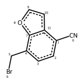 N#Cc1ccc(CBr)c2occc12